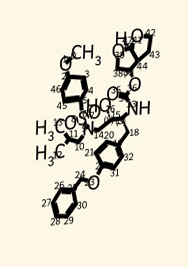 COc1ccc(S(=O)(=O)N(CC(C)C)C[C@H](O)[C@H](Cc2ccc(OCc3ccccc3)cc2)NC(=O)O[C@H]2CO[C@H]3OCCC32)cc1